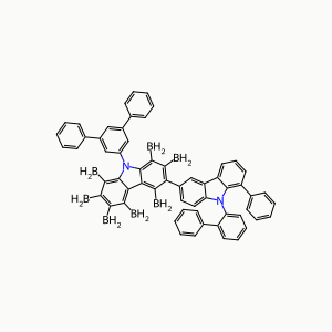 Bc1c(B)c(B)c2c(c1B)c1c(B)c(-c3ccc4c(c3)c3cccc(-c5ccccc5)c3n4-c3ccccc3-c3ccccc3)c(B)c(B)c1n2-c1cc(-c2ccccc2)cc(-c2ccccc2)c1